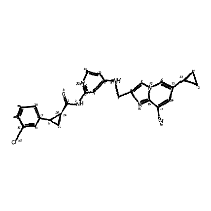 O=C(Nc1cc(NCc2cn3cc(C4CC4)cc(Br)c3n2)ccn1)[C@H]1CC1c1cccc(Cl)c1